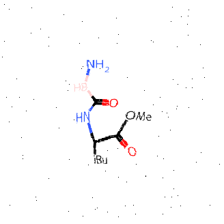 CCC(C)C(NC(=O)BN)C(=O)OC